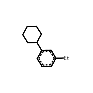 C[CH]c1cccc(C2CCCCC2)c1